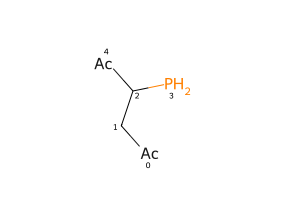 CC(=O)CC(P)C(C)=O